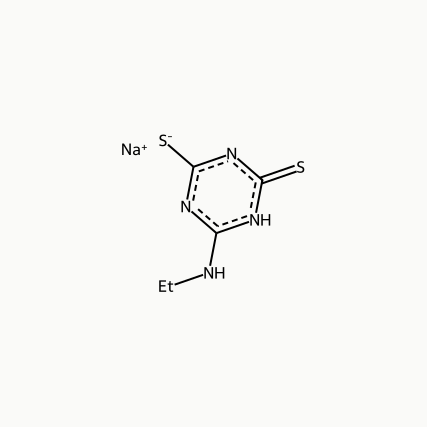 CCNc1nc([S-])nc(=S)[nH]1.[Na+]